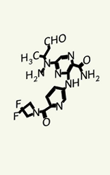 CC(CC=O)N(N)c1cnc(C(N)=O)c(Nc2ccc(C(=O)N3CC(F)(F)C3)nc2)n1